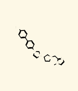 Cn1ccnc1CN1CC[C@H](N2C=CN(c3ccc(-c4ccc(O)cc4)cc3)C2)C1